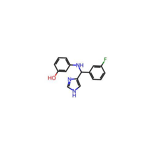 Oc1cccc(NC(c2cccc(F)c2)c2c[nH]cn2)c1